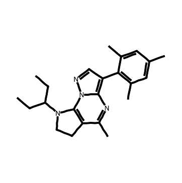 CCC(CC)N1CCc2c(C)nc3c(-c4c(C)cc(C)cc4C)cnn3c21